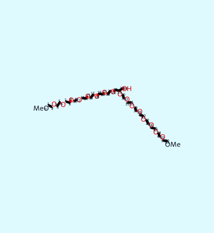 COCCOCCOCCOCCOCCOCCOCCOCCOCC(CO)OCCOCCOCCOCCOCCOCCOCCOCCOC